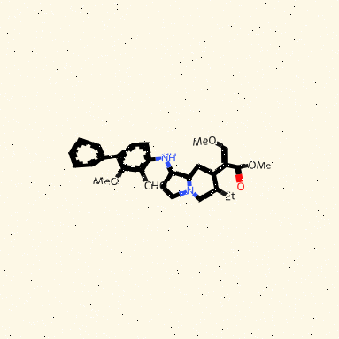 CCC1CN2CCC(Nc3ccc(-c4ccccc4)c(OC)c3C=O)C2CC1/C(=C\OC)C(=O)OC